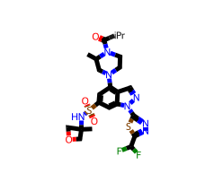 CC(C)C(=O)N1CCN(c2cc(S(=O)(=O)NC3(C)COC3)cc3c2cnn3-c2nnc(C(F)F)s2)CC1C